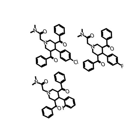 CN(C)C(=O)CN1CC(C(=O)c2ccccc2)C(c2ccc(Cl)cc2)C(C(=O)c2ccccc2)C1.CN(C)C(=O)CN1CC(C(=O)c2ccccc2)C(c2ccc(F)cc2)C(C(=O)c2ccccc2)C1.CN(C)C(=O)CN1CC(C(=O)c2ccccc2)C(c2ccccc2I)C(C(=O)c2ccccc2)C1